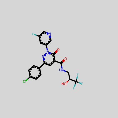 O=C(NC[C@H](O)C(F)(F)F)c1cc(-c2ccc(Cl)cc2)nn(-c2cncc(F)c2)c1=O